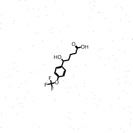 O=C(O)CCCC(O)c1ccc(OC(F)(F)F)cc1